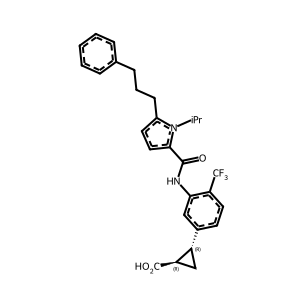 CC(C)n1c(CCCc2ccccc2)ccc1C(=O)Nc1cc([C@@H]2C[C@H]2C(=O)O)ccc1C(F)(F)F